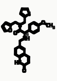 COc1ccc([C@@H](NCc2ccc3[nH]c(=O)ccc3c2)C(=O)N(Cc2ccco2)Cc2cccs2)cc1